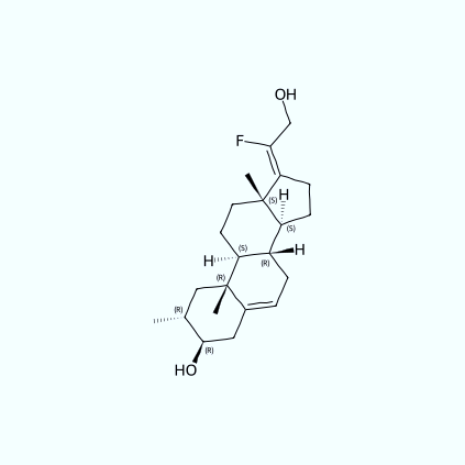 C[C@@H]1C[C@@]2(C)C(=CC[C@@H]3[C@@H]2CC[C@]2(C)C(=C(F)CO)CC[C@@H]32)C[C@H]1O